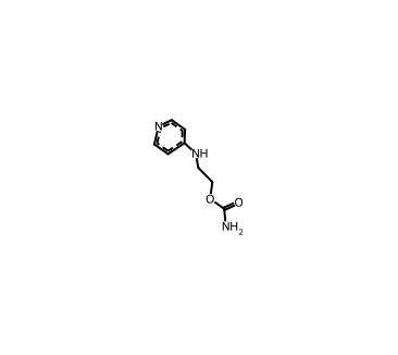 NC(=O)OCCNc1ccncc1